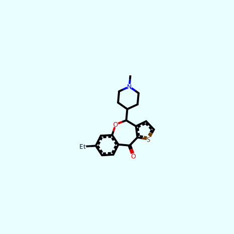 CCc1ccc2c(c1)OC(C1CCN(C)CC1)c1ccsc1C2=O